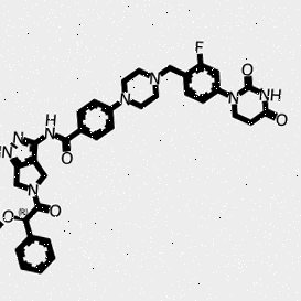 CO[C@@H](C(=O)N1Cc2[nH]nc(NC(=O)c3ccc(N4CCN(Cc5ccc(N6CCC(=O)NC6=O)cc5F)CC4)cc3)c2C1)c1ccccc1